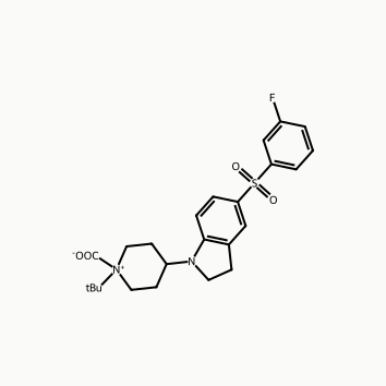 CC(C)(C)[N+]1(C(=O)[O-])CCC(N2CCc3cc(S(=O)(=O)c4cccc(F)c4)ccc32)CC1